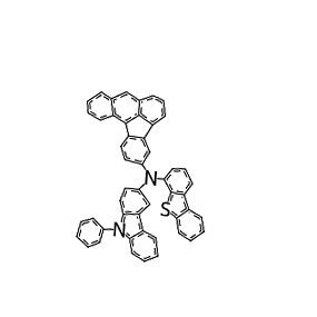 c1ccc(-n2c3ccccc3c3cc(N(c4ccc5c(c4)-c4cccc6cc7ccccc7c-5c46)c4cccc5c4sc4ccccc45)ccc32)cc1